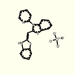 C(=C1Nc2ccccc2S1)c1sc2ccccc2[n+]1-c1ccccn1.[O-][Cl+3]([O-])([O-])[O-]